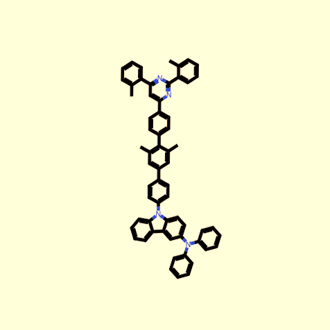 Cc1ccccc1-c1cc(-c2ccc(-c3c(C)cc(-c4ccc(-n5c6ccccc6c6cc(N(c7ccccc7)c7ccccc7)ccc65)cc4)cc3C)cc2)nc(-c2ccccc2C)n1